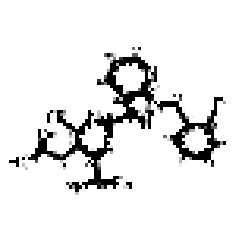 O=C(O)Cc1c(Cl)nc(-c2nn(Cc3ccccc3F)c3ncccc23)nc1C(F)F